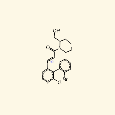 O=C(/C=C/c1cc[c]c(Cl)c1-c1ccccc1Br)N1CCCCC1CO